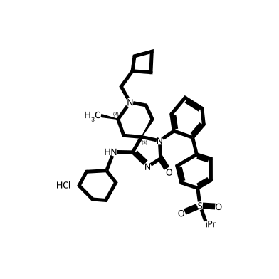 CC(C)S(=O)(=O)c1ccc(-c2ccccc2N2C(=O)N=C(NC3CCCCC3)[C@@]23CCN(CC2CCC2)[C@H](C)C3)cc1.Cl